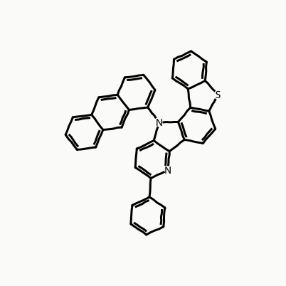 c1ccc(-c2ccc3c(n2)c2ccc4sc5ccccc5c4c2n3-c2cccc3cc4ccccc4cc23)cc1